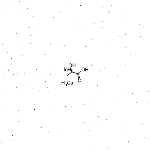 CC(O)C(=O)O.[GaH3].[InH3]